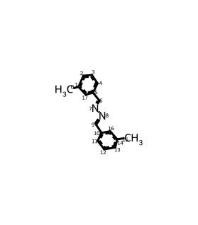 Cc1cccc(C=NN=Cc2cccc(C)c2)c1